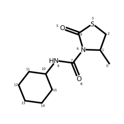 CC1CSC(=O)N1C(=O)NC1CCCCC1